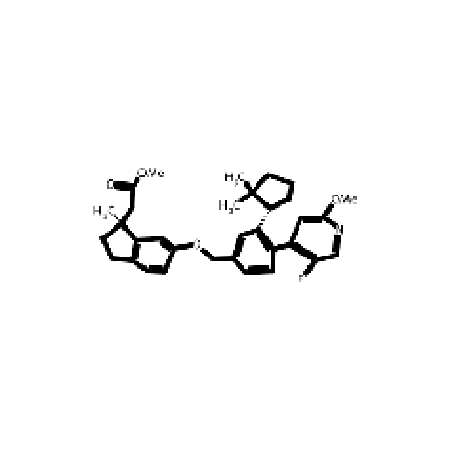 COC(=O)C[C@]1(C)CCc2ccc(OCc3ccc(-c4cc(OC)ncc4F)c([C@H]4CCCC4(C)C)c3)cc21